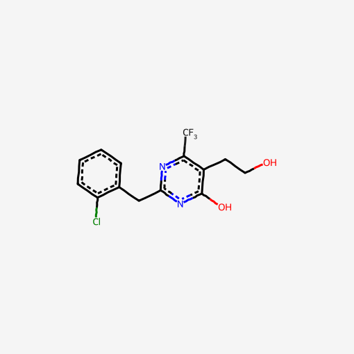 OCCc1c(O)nc(Cc2ccccc2Cl)nc1C(F)(F)F